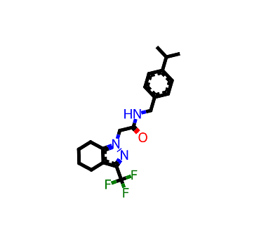 CC(C)c1ccc(CNC(=O)Cn2nc(C(F)(F)F)c3c2CCCC3)cc1